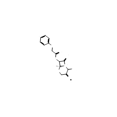 O=C=C1CS[C@@H]2C(NC(=O)COc3ccccc3)C(=O)N2C1C(=O)O